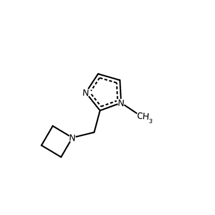 Cn1ccnc1CN1CCC1